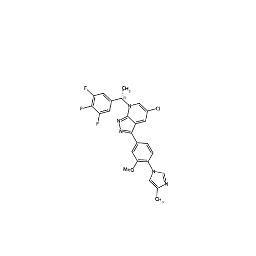 COc1cc(-c2nnc3n([C@@H](C)c4cc(F)c(F)c(F)c4)cc(Cl)cc2-3)ccc1-n1cnc(C)c1